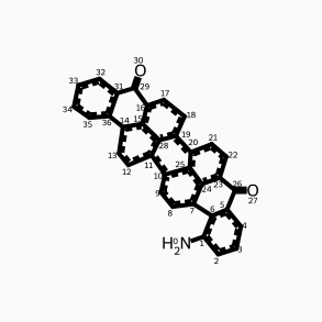 Nc1cccc2c1-c1ccc3c4ccc5c6c(ccc(c7ccc(c1c73)C2=O)c64)C(=O)c1ccccc1-5